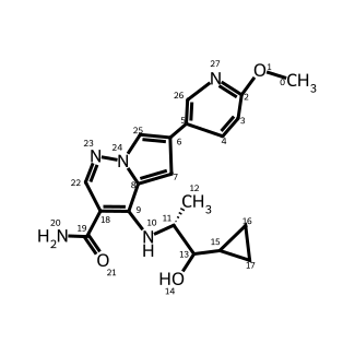 COc1ccc(-c2cc3c(N[C@H](C)C(O)C4CC4)c(C(N)=O)cnn3c2)cn1